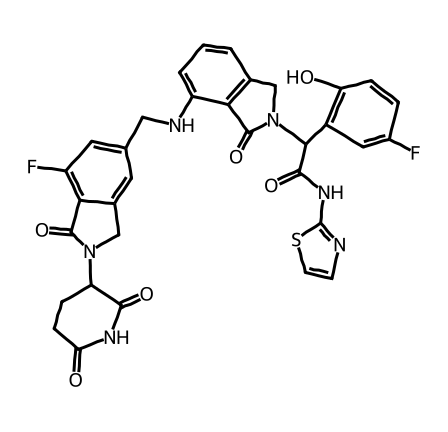 O=C1CCC(N2Cc3cc(CNc4cccc5c4C(=O)N(C(C(=O)Nc4nccs4)c4cc(F)ccc4O)C5)cc(F)c3C2=O)C(=O)N1